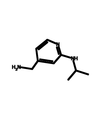 CC(C)Nc1cc(CN)ccn1